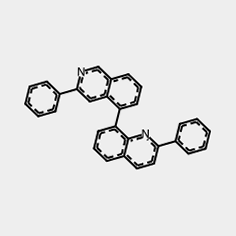 c1ccc(-c2cc3c(-c4cccc5ccc(-c6ccccc6)nc45)cccc3cn2)cc1